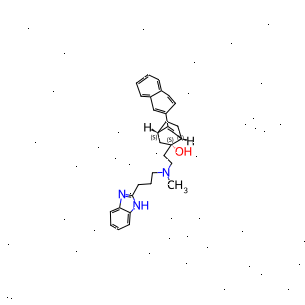 CN(CCCc1nc2ccccc2[nH]1)CC[C@@]1(O)C[C@@H]2CC[C@H]1C=C2c1ccc2ccccc2c1